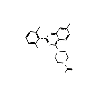 Cc1ccc2c(N3CCN(C(=O)OCC(C)C)CC3)nc(-c3c(C)cccc3O)nc2c1